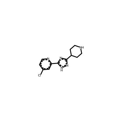 Clc1ccnc(-c2nc(C3CCNCC3)n[nH]2)c1